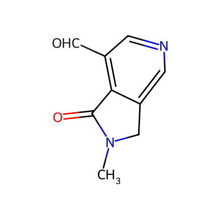 CN1Cc2cncc(C=O)c2C1=O